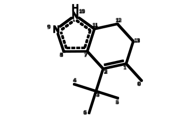 CC1=C(C(C)(C)C)c2cn[nH]c2CC1